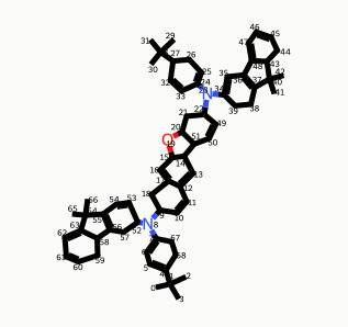 CC(C)(C)C1=CC=C(N(C2C=CC3=CC4C(C=C3C2)OC2CC(N(C3=CCC(C(C)(C)C)C=C3)C3=CC5=C(CC3)C(C)(C)C3CC=CC=C53)C=CC24)C2C=CC3=C(C2)C2CC=CC=C2C3(C)C)CC1